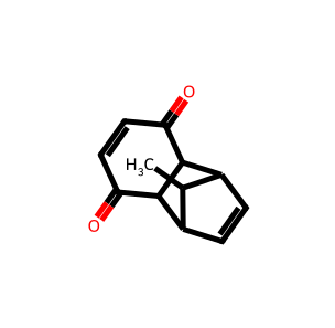 CC1C2C=CC1C1C(=O)C=CC(=O)C21